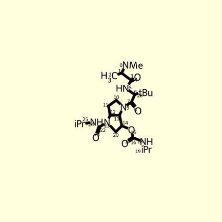 CNC(C)C(=O)NC(C(=O)N1CCC2C1C(OC(=O)NC(C)C)CN2C(=O)NC(C)C)C(C)(C)C